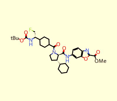 COC(=O)c1nc2ccc(NC(=O)[C@H]3[C@H](C4CCCCC4)CCN3C(=O)C3CCC([C@@H](CF)NC(=O)OC(C)(C)C)CC3)cc2o1